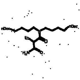 CCCCCCCCCCCCCCN(CCCCCCCCCCCCCC)C(=O)C(CC)C(N)=O